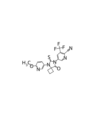 COc1ccc(N2C(=S)N(c3cnc(C#N)c(C(F)(F)F)c3)C(=O)C23CCC3)cn1